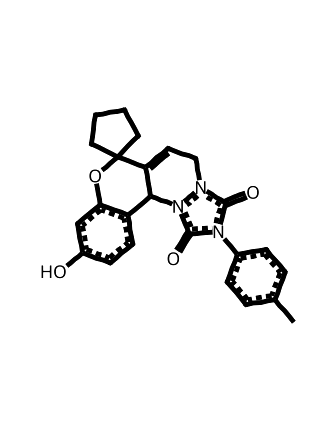 Cc1ccc(-n2c(=O)n3n(c2=O)C2C(=CC3)C3(CCCC3)Oc3cc(O)ccc32)cc1